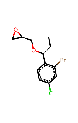 CC[C@@H](OC[C@H]1CO1)c1ccc(Cl)cc1Br